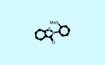 CSc1ccccc1-n1sc2ccccc2c1=O